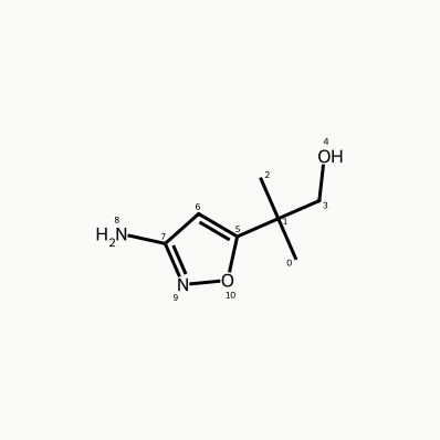 CC(C)(CO)c1cc(N)no1